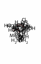 CN[C@@H](CC(C)C)C(=O)N[C@@H](C(=O)N[C@@H](CC(N)=O)C(N)=O)[C@H](O)c1ccc(Oc2cc3cc(c2OC2OC(CSc4nc(C)cc(O)n4)C(O)C(O)C2OC2CC(C)(NCc4ccc(-c5ccc(Cl)cc5)cc4)C(O)C(C)O2)Oc2ccc(cc2Cl)[C@@H](O)C2NC(=O)[C@H](NC(=O)[C@@H]3C)c3ccc(O)c(c3)-c3c(O)cc(O)cc3[C@H](C(=O)O)NC2=O)c(Cl)c1